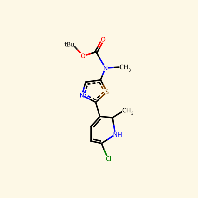 CC1NC(Cl)=CC=C1c1ncc(N(C)C(=O)OC(C)(C)C)s1